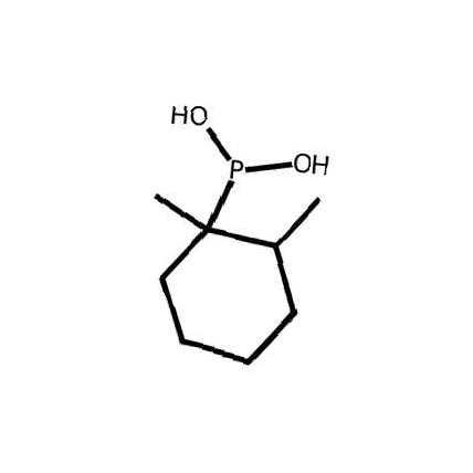 CC1CCCCC1(C)P(O)O